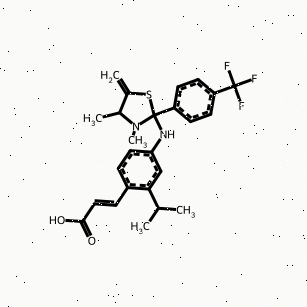 C=C1SC(Nc2ccc(/C=C/C(=O)O)c(C(C)C)c2)(c2ccc(C(F)(F)F)cc2)N(C)C1C